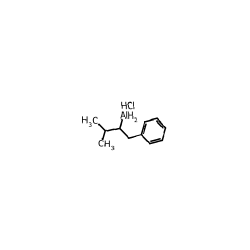 CC(C)[CH]([AlH2])Cc1ccccc1.Cl